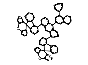 c1ccc(-c2cc(-c3c4cccc(-c5cccc6c5-c5ccccc5C65c6ccccc6Oc6ccccc65)c4cc4c(-c5cccc6c5-c5ccccc5C65c6ccccc6Oc6ccccc65)cccc34)cc3ccccc23)cc1